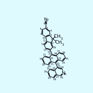 CC1(C)c2cc(C#N)ccc2-c2ccc(-c3c4ccccc4c(-c4cncc5ccccc45)c4ccccc34)cc21